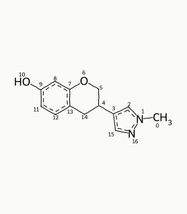 Cn1cc(C2COc3cc(O)ccc3C2)cn1